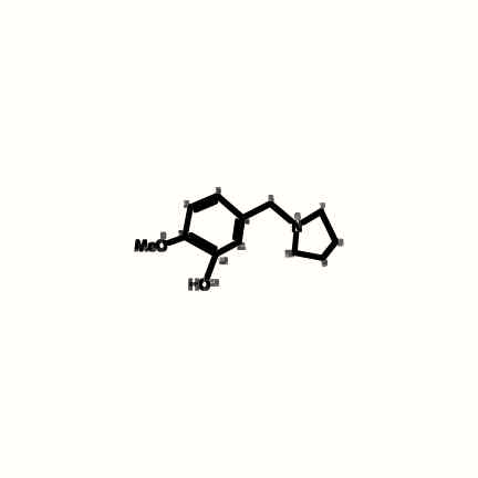 COc1ccc(CN2CCCC2)cc1O